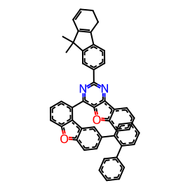 CC1(C)C2=C(CCC=C2)c2ccc(-c3nc(-c4cccc5oc6ccc(-c7ccccc7-c7ccccc7)cc6c45)c4oc5ccccc5c4n3)cc21